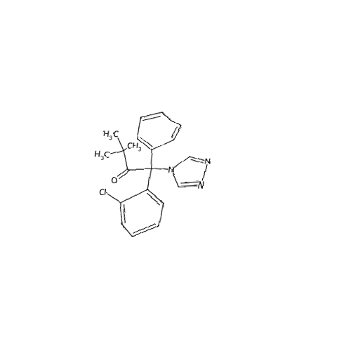 CC(C)(C)C(=O)C(c1ccccc1)(c1ccccc1Cl)n1cnnc1